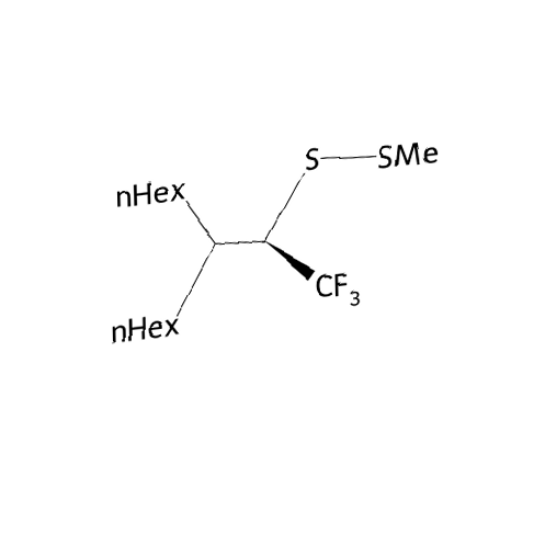 CCCCCCC(CCCCCC)[C@@H](SSC)C(F)(F)F